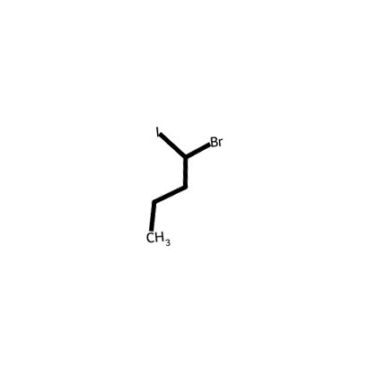 CCCC(Br)I